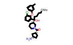 COCCCCC(O)(c1cccc(Cl)c1Oc1cccc(C)c1)[C@@H]1CCCN(C(=O)[C@@H]2CC[C@H](N)C2)C1